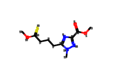 COC(=O)c1nc(CCCC(=S)OC)n(C)n1